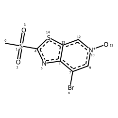 CS(=O)(=O)c1nc2c(Br)c[n+]([O-])cc2s1